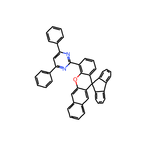 c1ccc(-c2cc(-c3ccccc3)nc(-c3cccc4c3Oc3cc5ccccc5cc3C43c4ccccc4-c4ccccc43)n2)cc1